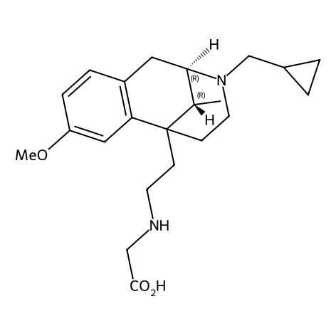 COc1ccc2c(c1)C1(CCNCC(=O)O)CCN(CC3CC3)[C@H](C2)[C@@H]1C